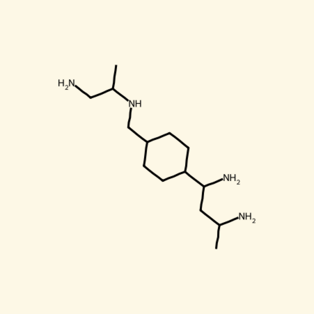 CC(N)CC(N)C1CCC(CNC(C)CN)CC1